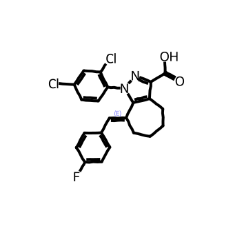 O=C(O)c1nn(-c2ccc(Cl)cc2Cl)c2c1CCCC/C2=C\c1ccc(F)cc1